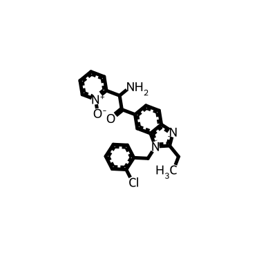 CCc1nc2ccc(C(=O)C(N)c3cccc[n+]3[O-])cc2n1Cc1ccccc1Cl